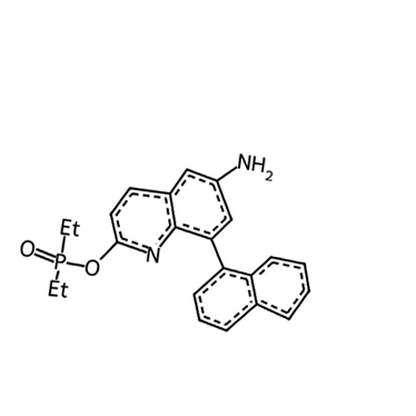 CCP(=O)(CC)Oc1ccc2cc(N)cc(-c3cccc4ccccc34)c2n1